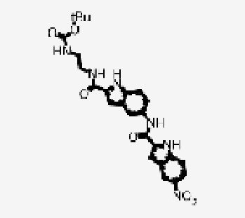 CC(C)(C)OC(=O)NCCNC(=O)c1cc2cc(NC(=O)c3cc4cc([N+](=O)[O-])ccc4[nH]3)ccc2[nH]1